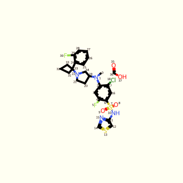 CN(c1cc(F)c(S(=O)(=O)Nc2cscn2)cc1Cl)C1CCN(C2(c3ccccc3F)CCC2)C1.O=CO